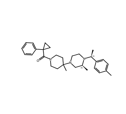 Cc1ccc([C@H](C)N2CCN(C3(C)CCN(C(=O)C4(c5ccccc5)CC4)CC3)C[C@@H]2C)cc1